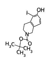 CC(C)(C)OC(=O)N1CCc2c(ccc(O)c2I)C1